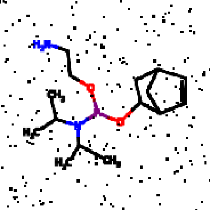 CC(C)N(C(C)C)P(OCCN)OC1CC2C=CC1C2